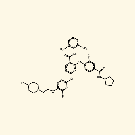 Cc1cccc(C)c1NC(=O)c1cnc(Nc2ccc(OCCN3CCN(C(C)C)CC3)c(F)c2)nc1Oc1ccc(C(=O)NC2CCCC2)cc1Cl